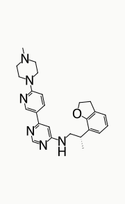 C[C@H](CNc1cc(-c2ccc(N3CCN(C)CC3)nc2)ncn1)c1cccc2c1OCC2